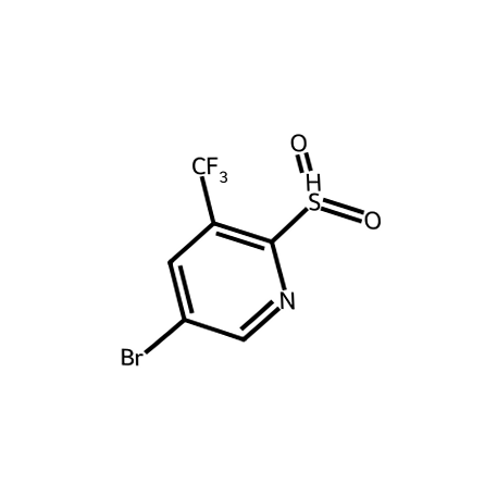 O=[SH](=O)c1ncc(Br)cc1C(F)(F)F